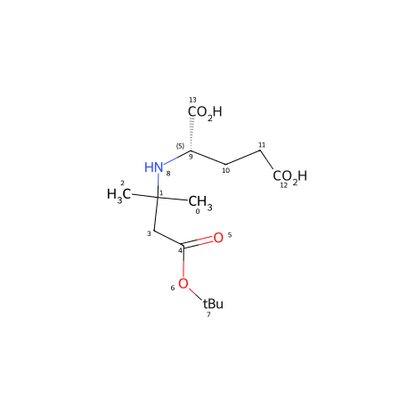 CC(C)(CC(=O)OC(C)(C)C)N[C@@H](CCC(=O)O)C(=O)O